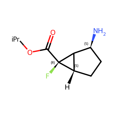 CC(C)OC(=O)[C@]1(F)C2[C@@H](N)CC[C@@H]21